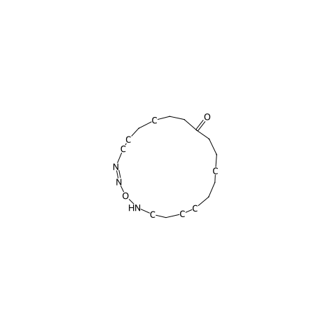 O=C1CCCCCCCCCNON=NCCCCCC1